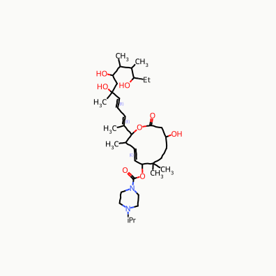 CCC(O)C(C)C(C)C(O)CC(C)(O)/C=C/C=C(\C)C1OC(=O)CC(O)CCC(C)(C)C(OC(=O)N2CCN(C(C)C)CC2)/C=C/C1C